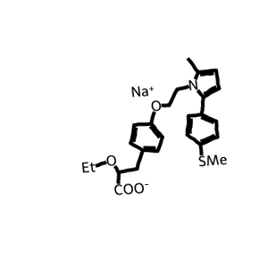 CCOC(Cc1ccc(OCCn2c(C)ccc2-c2ccc(SC)cc2)cc1)C(=O)[O-].[Na+]